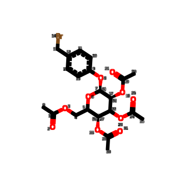 CC(=O)OCC1O[C@@H](Oc2ccc(CBr)cc2)[C@@H](OC(C)=O)C(OC(C)=O)[C@H]1OC(C)=O